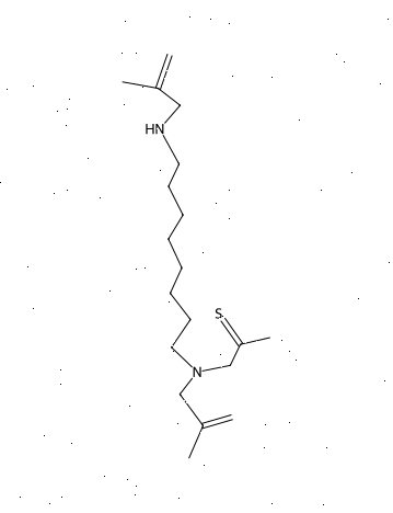 C=C(C)CNCCCCCCCCN(CC(=C)C)CC(C)=S